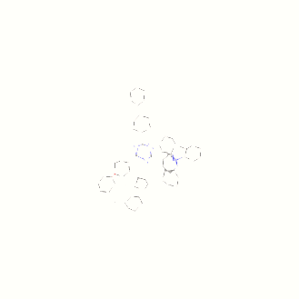 CC1(C)c2ccccc2C2(c3ccc(-c4cccc(-n5c6ccccc6c6ccccc65)c4)cc3-c3c(-c4nc(-c5ccccc5)nc(-c5ccc(-c6ccccc6)cc5)n4)cccc32)c2ccccc21